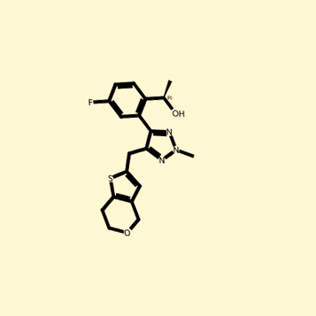 C[C@@H](O)c1ccc(F)cc1-c1nn(C)nc1Cc1cc2c(s1)CCOC2